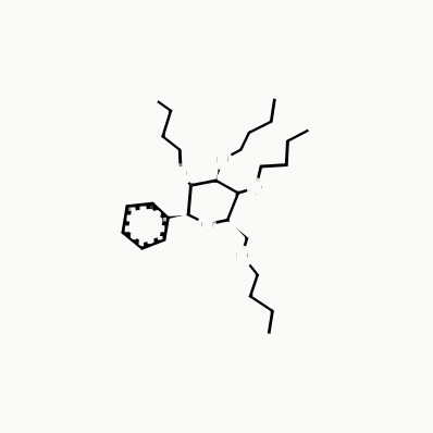 CCCCOC[C@H]1O[C@@H](c2ccccc2)C(OCCCC)[C@@H](OCCCC)C1OCCCC